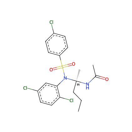 CCC[C@](C)(NC(C)=O)N(c1cc(Cl)ccc1Cl)S(=O)(=O)c1ccc(Cl)cc1